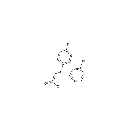 Clc1ccccc1.O=S(=O)=COc1ccc(Cl)cc1